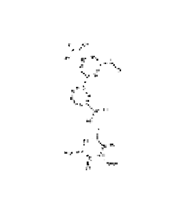 CCCCC[C@@H](C(=O)NCNC(=O)c1cccc(-c2cc(OCC)cc(P(=O)(O)O)c2)c1)[C@@H](CC)N(O)C=O